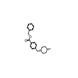 CN1CCN(Cc2ccc(C(=O)OCc3ccccc3)cc2)CC1